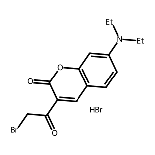 Br.CCN(CC)c1ccc2cc(C(=O)CBr)c(=O)oc2c1